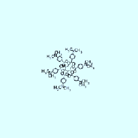 CN(C)c1ccc(C(=O)OCC(OC(=O)c2ccc(N(C)C)cc2)C(OC(=O)c2ccc(N(C)C)cc2)C(OC(O)c2ccc(N(C)C)cc2)C(COC(=O)c2ccc(N(C)C)cc2)OC(=O)c2ccc(N(C)C)cc2)cc1